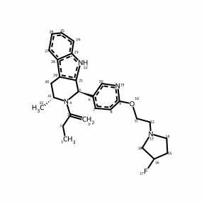 C=C(CC)N1[C@H](c2ccc(OCCN3CCC(F)C3)nc2)c2[nH]c3ccccc3c2C[C@H]1C